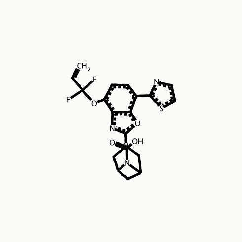 C=CC(F)(F)Oc1ccc(-c2nccs2)c2oc(N3CC4CC(C3)N4C(=O)O)nc12